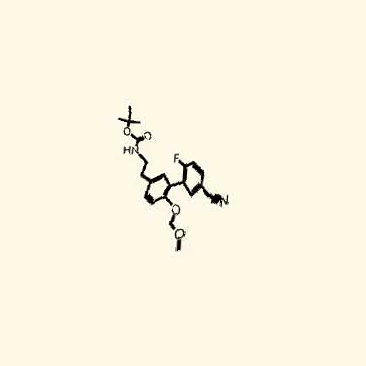 COCOc1ccc(CCNC(=O)OC(C)(C)C)cc1-c1cc(C#N)ccc1F